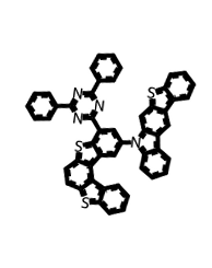 c1ccc(-c2nc(-c3ccccc3)nc(-c3cc(-n4c5ccccc5c5cc6c(cc54)sc4ccccc46)cc4c3sc3ccc5sc6ccccc6c5c34)n2)cc1